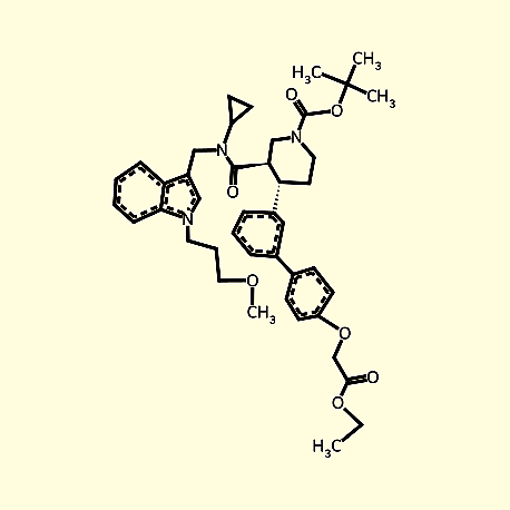 CCOC(=O)COc1ccc(-c2cccc([C@H]3CCN(C(=O)OC(C)(C)C)C[C@@H]3C(=O)N(Cc3cn(CCCOC)c4ccccc34)C3CC3)c2)cc1